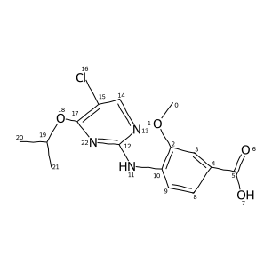 COc1cc(C(=O)O)ccc1Nc1ncc(Cl)c(OC(C)C)n1